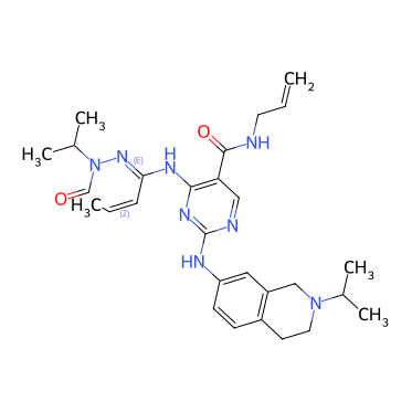 C=CCNC(=O)c1cnc(Nc2ccc3c(c2)CN(C(C)C)CC3)nc1NC(/C=C\C)=N/N(C=O)C(C)C